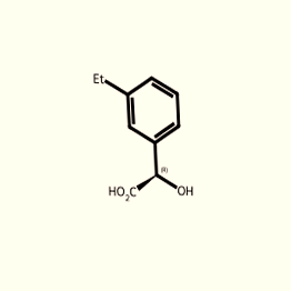 CCc1cccc([C@@H](O)C(=O)O)c1